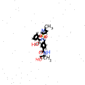 Cc1ccc(S(=O)(=O)N(Cc2ccc(C(=O)N[C@H](C)CO)cc2)[C@@H](CO)c2ccccc2)cn1